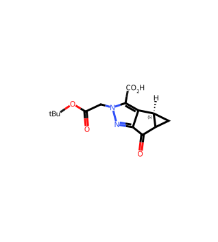 CC(C)(C)OC(=O)Cn1nc2c(c1C(=O)O)[C@H]1CC1C2=O